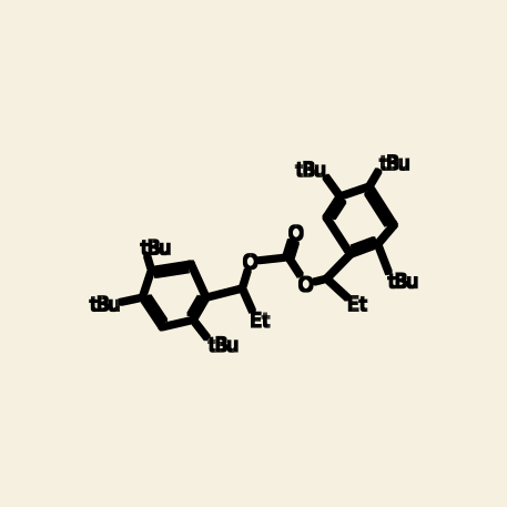 CCC(OC(=O)OC(CC)c1cc(C(C)(C)C)c(C(C)(C)C)cc1C(C)(C)C)c1cc(C(C)(C)C)c(C(C)(C)C)cc1C(C)(C)C